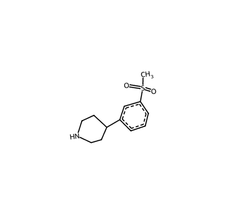 CS(=O)(=O)c1cccc(C2CCNCC2)c1